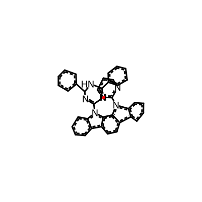 c1ccc(C2=NC(n3c4ccccc4c4ccc5c6ccccc6n(-c6ncccn6)c5c43)=NC(c3ccccc3)N2)cc1